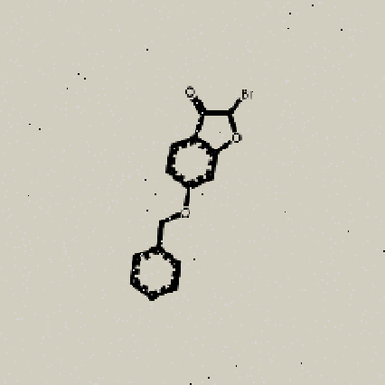 O=C1c2ccc(OCc3ccccc3)cc2OC1Br